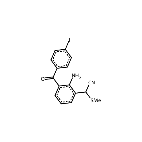 CSC(C#N)c1cccc(C(=O)c2ccc(I)cc2)c1N